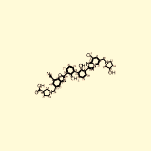 Cc1c(-c2nc3c(Cl)cc(CN4CC[C@@H](O)C4)cn3n2)cccc1-c1cccc(-c2nc3cc(CN4CC[C@@H](C(=O)O)C4)cc(C#N)c3o2)c1C